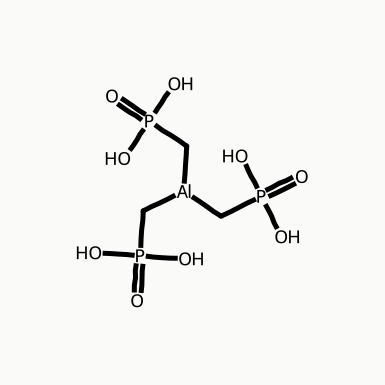 O=P(O)(O)[CH2][Al]([CH2]P(=O)(O)O)[CH2]P(=O)(O)O